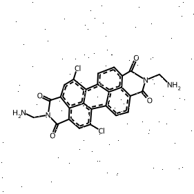 NCN1C(=O)c2ccc3c4c(Cl)cc5c6c(cc(Cl)c(c7ccc(c2c37)C1=O)c64)C(=O)N(CN)C5=O